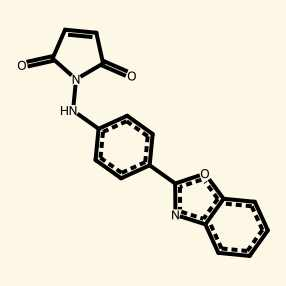 O=C1C=CC(=O)N1Nc1ccc(-c2nc3ccccc3o2)cc1